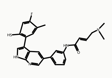 Cc1cc(-c2c[nH]c3ncc(-c4cccc(NC(=O)/C=C/CN(C)C)c4)cc23)c(S)cc1F